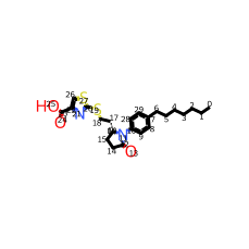 CCCCCCCc1ccc(N2C(=O)CC[C@@H]2CCSc2nc(C(=O)O)cs2)cc1